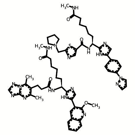 CNC(=O)CCCCC[C@H](NC(=O)CCc1c(C)nc2ncnn2c1C)c1ncc(-c2cc3ccccc3nc2OC)[nH]1.CNC(=O)CCCCC[C@H](NC(=O)c1cnc(CN2CCCC2)s1)c1ncc(-c2ccc(-n3cccn3)cc2)[nH]1